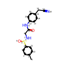 Cc1ccc([S+]([O-])NCC(=O)Nc2ccc(CC#N)cc2)cc1